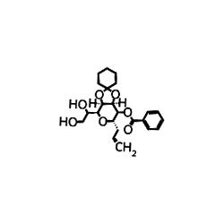 C=CC[C@@H]1O[C@@H](C(O)CO)[C@H]2OC3(CCCCC3)O[C@H]2[C@H]1OC(=O)c1ccccc1